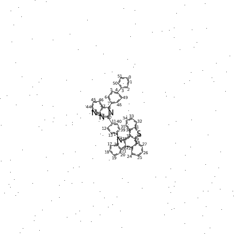 c1ccc(-c2ccc(-c3nc(-c4ccc(-n5c6ccccc6c6c7ccccc7c7sc8ccccc8c7c65)cc4)nc4ncccc34)cc2)cc1